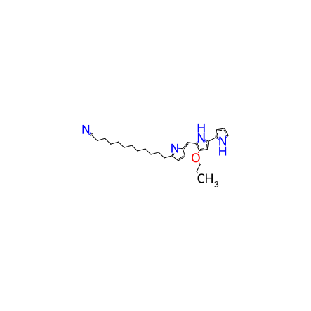 CCCOc1cc(-c2ccc[nH]2)[nH]c1/C=C1\C=CC(CCCCCCCCCCCC#N)=N1